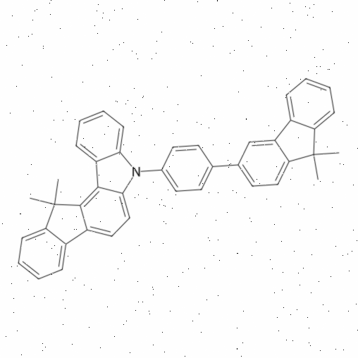 CC1(C)c2ccccc2-c2cc(-c3ccc(-n4c5ccccc5c5c6c(ccc54)-c4ccccc4C6(C)C)cc3)ccc21